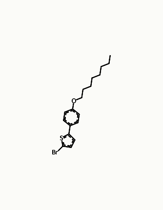 CCCCCCCCOc1ccc(-c2ccc(Br)s2)cc1